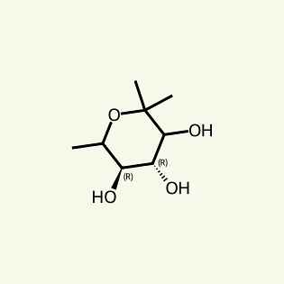 CC1OC(C)(C)C(O)[C@H](O)[C@H]1O